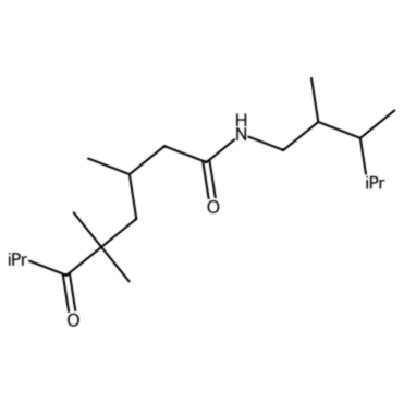 CC(CC(=O)NCC(C)C(C)C(C)C)CC(C)(C)C(=O)C(C)C